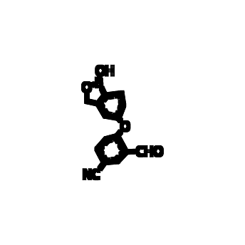 N#Cc1ccc(Oc2ccc3c(c2)COB3O)c(C=O)c1